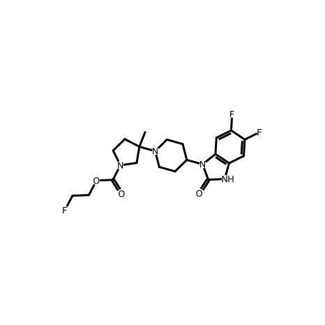 CC1(N2CCC(n3c(=O)[nH]c4cc(F)c(F)cc43)CC2)CCN(C(=O)OCCF)C1